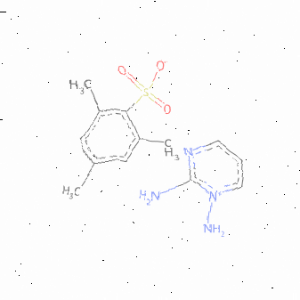 Cc1cc(C)c(S(=O)(=O)[O-])c(C)c1.Nc1nccc[n+]1N